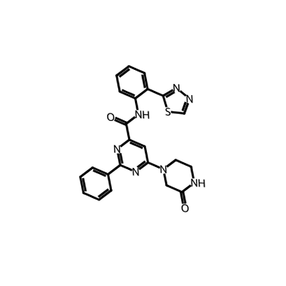 O=C1CN(c2cc(C(=O)Nc3ccccc3-c3nncs3)nc(-c3ccccc3)n2)CCN1